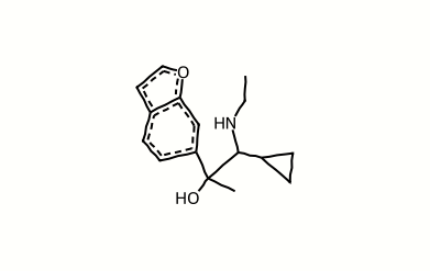 CCNC(C1CC1)C(C)(O)c1ccc2ccoc2c1